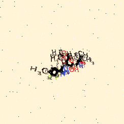 Cc1ccc(-c2cn([C@@H]3[C@@H](O)[C@@H](Cc4cc(C(C)(C)C)on4)O[C@@H]4COC(C)(C)O[C@H]34)nn2)c(F)c1F